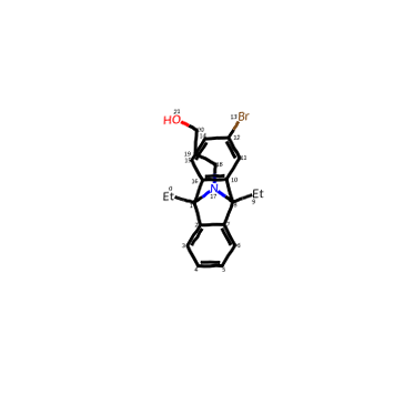 CCC12c3ccccc3C(CC)(c3cc(Br)ccc31)N2CCCO